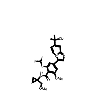 COCC1(NC(=O)c2c(OC)cc(-c3cnc4cc(C(C)(C)C#N)ccn34)cc2OC(F)F)CC1